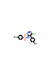 CC(C)c1ccc(-c2c(Cl)ncnc2NS(=O)(=O)c2ccc(C(C)C)cc2)cc1